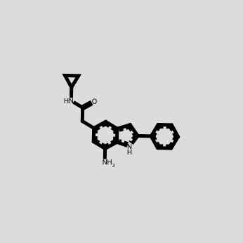 Nc1cc(CC(=O)NC2CC2)cc2cc(-c3ccccc3)[nH]c12